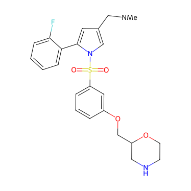 CNCc1cc(-c2ccccc2F)n(S(=O)(=O)c2cccc(OCC3CNCCO3)c2)c1